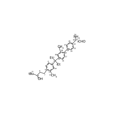 CCC(CC)(c1ccc(CCC(O)C(C)(C)C)c(C)c1)c1ccc(-c2ccc([C@H](N)C=O)cc2)c(C)c1